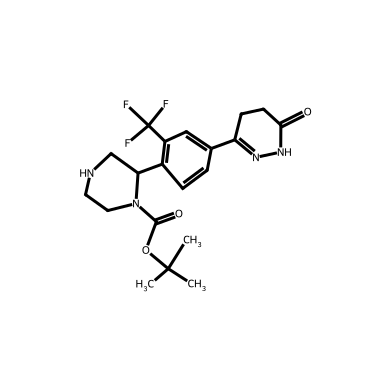 CC(C)(C)OC(=O)N1CCNCC1c1ccc(C2=NNC(=O)CC2)cc1C(F)(F)F